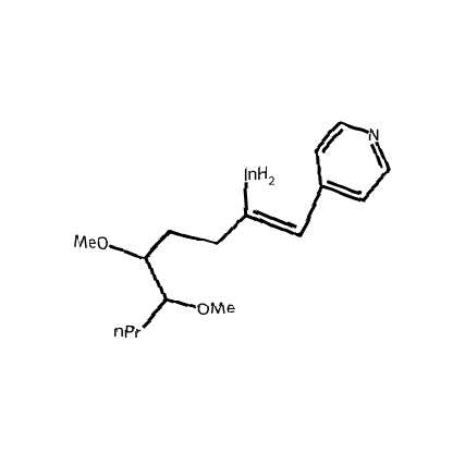 CCCC(OC)C(CC[C]([InH2])=Cc1ccncc1)OC